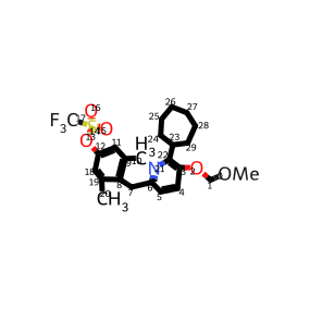 COCOc1ccc(Cc2c(C)cc(OS(=O)(=O)C(F)(F)F)cc2C)nc1C1CCCCCC1